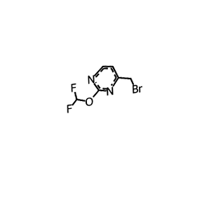 FC(F)Oc1nccc(CBr)n1